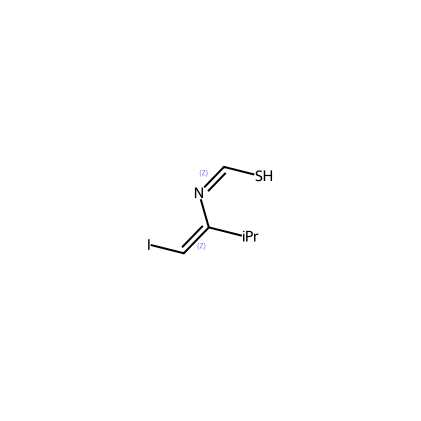 CC(C)C(=C/I)/N=C\S